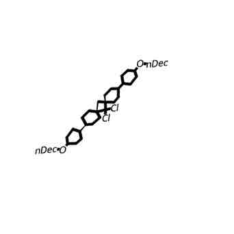 CCCCCCCCCCOC1CCC(C2CC[C@]3(CC2)C[C@@]2(CC[C@H](C4CCC(OCCCCCCCCCC)CC4)CC2)C3(Cl)Cl)CC1